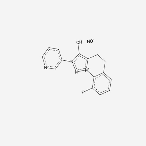 Oc1c2[n+](nn1-c1cccnc1)-c1c(F)cccc1CC2.[OH-]